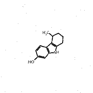 CC1CCCc2[nH]c3cc(O)ccc3c21